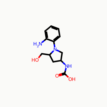 Nc1ccccc1N1CC(NC(=O)O)CC1CO